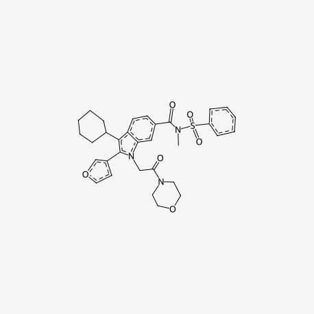 CN(C(=O)c1ccc2c(C3CCCCC3)c(-c3ccoc3)n(CC(=O)N3CCOCC3)c2c1)S(=O)(=O)c1ccccc1